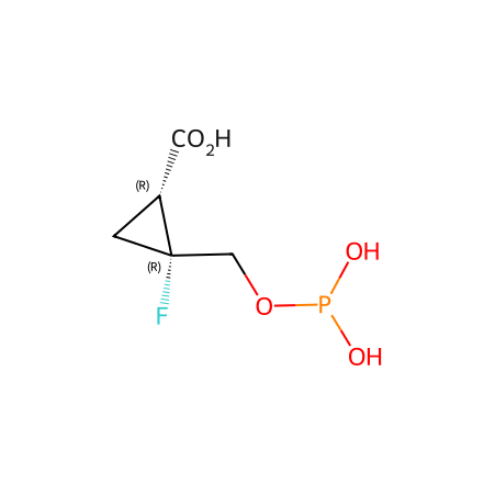 O=C(O)[C@H]1C[C@]1(F)COP(O)O